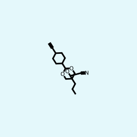 C#CC1CCC(C23OCC(CCC)(CO2)C(C#N)O3)CC1